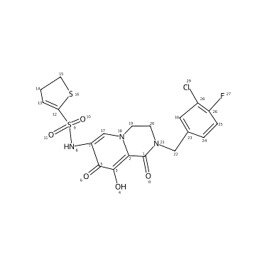 O=C1c2c(O)c(=O)c(NS(=O)(=O)C3=CCCS3)cn2CCN1Cc1ccc(F)c(Cl)c1